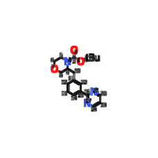 CC(C)(C)OC(=O)N1CCOCC1Cc1cccc(-c2ncccn2)c1